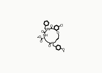 COC(=O)[C@@H]1CCC(=O)N(Cc2ccc(OC)cc2)C/C=C/COc2cc(Cl)ccc2C(=O)N[C@H](Cc2ccccc2)C(=O)N1